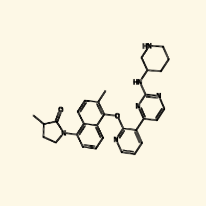 Cc1ccc2c(N3CCC(C)C3=O)cccc2c1Oc1ncccc1-c1ccnc(NC2CCCNC2)n1